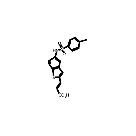 Cc1ccc(S(=O)(=O)Nc2ccc3sc(C=CC(=O)O)cc3c2)cc1